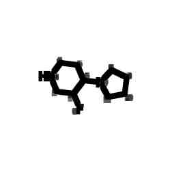 FC1CNCCC1N1CCCC1